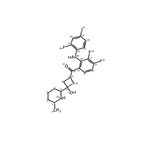 CC1CCCC(C2(O)CN(C(=O)c3ccc(F)c(F)c3[AsH]c3ccc(I)cc3F)C2)N1